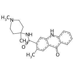 Cc1cc2c(=O)c3ccccc3[nH]c2cc1C(=O)NC1(C)CCN(C)CC1